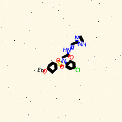 CCOc1ccc(S(=O)(=O)N(CC(=O)N/N=C/c2ncc[nH]2)c2ccc(Cl)cc2)cc1